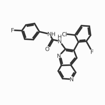 O=C(Nc1ccc(F)cc1)Nc1nc2ccncc2cc1-c1c(F)cccc1Cl